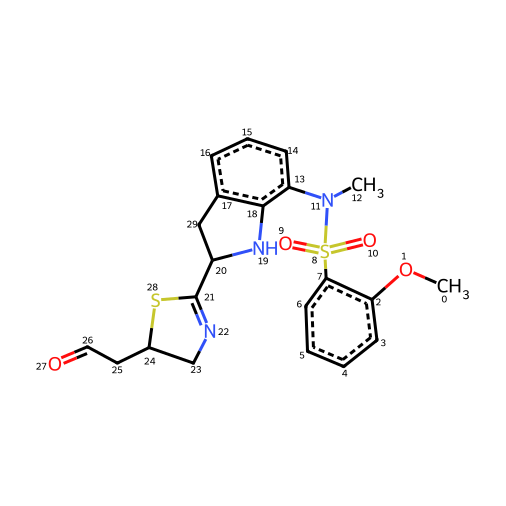 COc1ccccc1S(=O)(=O)N(C)c1cccc2c1NC(C1=NCC(CC=O)S1)C2